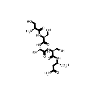 CC[C@H](C)[C@H](NC(=O)[C@H](CO)NC(=O)[C@@H](N)CO)C(=O)N[C@@H](CO)C(=O)N[C@@H](CC(N)=O)C(=O)O